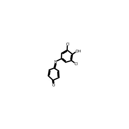 O=C1C=CC(=Nc2cc(Cl)c(O)c(Cl)c2)C=C1